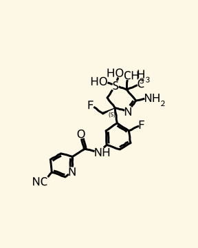 CC1(C)C(N)=N[C@](CF)(c2cc(NC(=O)c3ccc(C#N)cn3)ccc2F)CS1(O)O